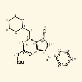 CC(C)(C)OC(=O)N[C@@H](CC1CCCCC1)[C@@H]1C[C@@H](Cc2ccncc2)OC1=O